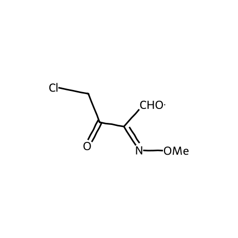 CO/N=C(\[C]=O)C(=O)CCl